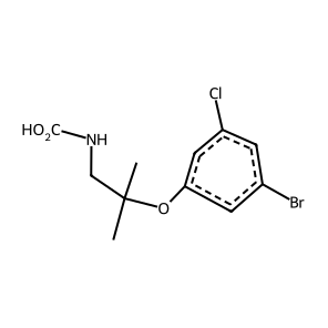 CC(C)(CNC(=O)O)Oc1cc(Cl)cc(Br)c1